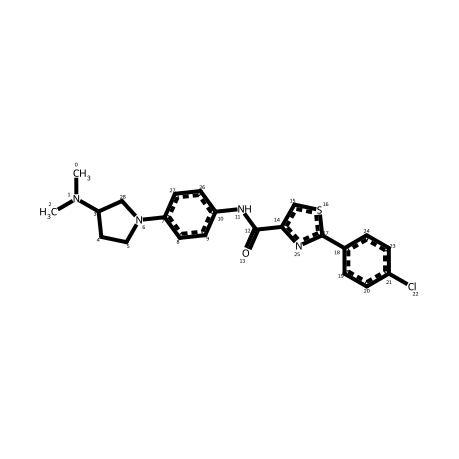 CN(C)C1CCN(c2ccc(NC(=O)c3csc(-c4ccc(Cl)cc4)n3)cc2)C1